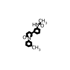 CC(=O)Nc1cccc(-c2ccc(=O)n(-c3cccc(C)c3)c2)c1